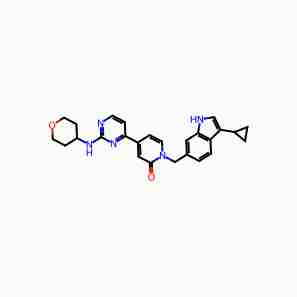 O=c1cc(-c2ccnc(NC3CCOCC3)n2)ccn1Cc1ccc2c(C3CC3)c[nH]c2c1